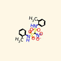 Cc1ccccc1NS(=O)(=O)C([N+](=O)[O-])S(=O)(=O)Nc1ccccc1C